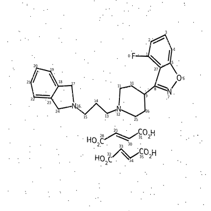 Fc1cccc2onc(C3CCN(CCCN4Cc5ccccc5C4)CC3)c12.O=C(O)C=CC(=O)O.O=C(O)C=CC(=O)O